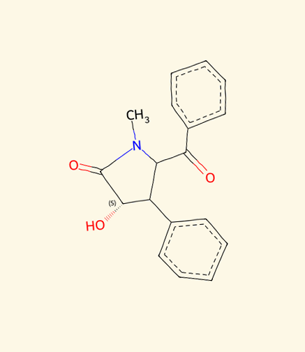 CN1C(=O)[C@@H](O)C(c2ccccc2)C1C(=O)c1ccccc1